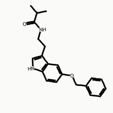 CC(C)C(=O)NCCc1c[nH]c2ccc(OCc3ccccc3)cc12